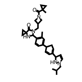 Cc1cc(C2C=CC(C3C=CN(CC(C)C)N3)=CC2)ccc1C1NC2(CC2)C(=O)N1CC1CN(C(=O)C2(C)CC2)C1